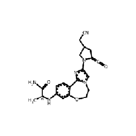 C[C@H](Nc1ccc2c(c1)OCCn1cc(N3CC(CC#N)CC3=C=O)nc1-2)C(N)=O